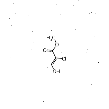 COC(=O)C(Cl)=CO